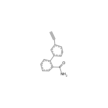 C#Cc1cccc(-c2ccccc2C(N)=O)c1